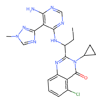 CCC(Nc1ncnc(N)c1-c1ncn(C)n1)c1nc2cccc(Cl)c2c(=O)n1C1CC1